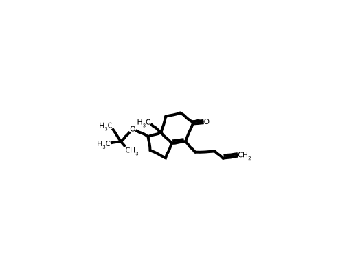 C=CCCC1=C2CCC(OC(C)(C)C)C2(C)CCC1=O